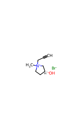 C#CC[N+]1(C)CC[C@@H](O)C1.[Br-]